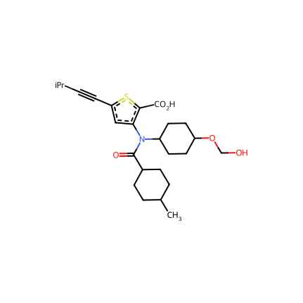 CC(C)C#Cc1cc(N(C(=O)C2CCC(C)CC2)C2CCC(OCO)CC2)c(C(=O)O)s1